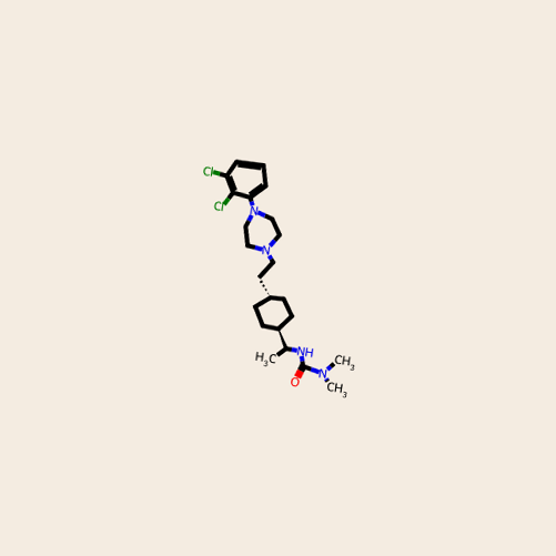 CC(NC(=O)N(C)C)[C@H]1CC[C@H](CCN2CCN(c3cccc(Cl)c3Cl)CC2)CC1